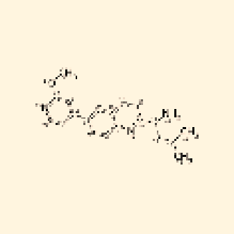 COc1cc(-c2ccc3nc(C(N)CC(C)C)ccc3c2)ccn1